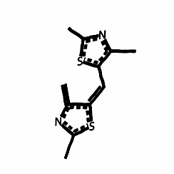 C=c1nc(C)s/c1=C/c1sc(C)nc1C